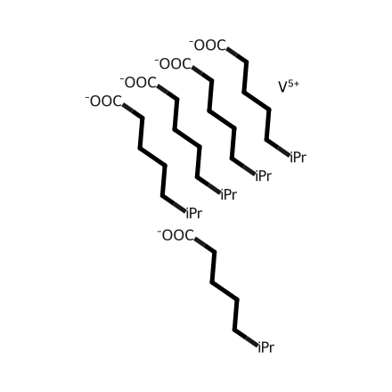 CC(C)CCCCC(=O)[O-].CC(C)CCCCC(=O)[O-].CC(C)CCCCC(=O)[O-].CC(C)CCCCC(=O)[O-].CC(C)CCCCC(=O)[O-].[V+5]